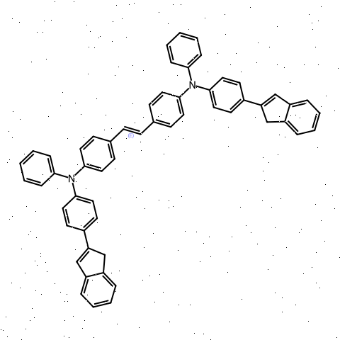 C1=C(c2ccc(N(c3ccccc3)c3ccc(/C=C/c4ccc(N(c5ccccc5)c5ccc(C6=Cc7ccccc7C6)cc5)cc4)cc3)cc2)Cc2ccccc21